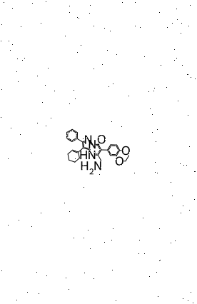 NCc1[nH]c2c(C3=CCCCC3)c(-c3ccccc3)nn2c(=O)c1-c1ccc2c(c1)OCCO2